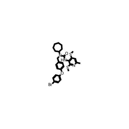 CSc1cc(C)nc(SC)c1NC(=O)N(Cc1ccc(Oc2ccc(Br)cc2)cc1)C1CCCCCC1